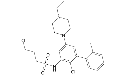 CCN1CCN(c2cc(NS(=O)(=O)CCCCl)c(Cl)c(-c3ccccc3C)c2)CC1